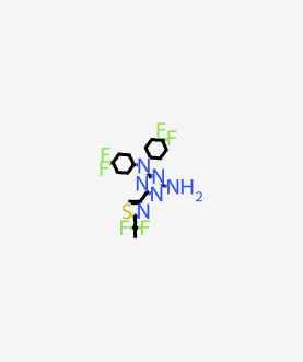 CC(F)(F)c1nc(-c2nc(N)nc(N(C3CCC(F)(F)CC3)C3CCC(F)(F)CC3)n2)cs1